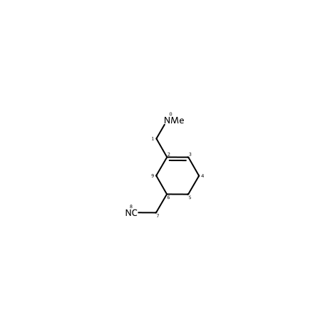 CNCC1=CCCC(CC#N)C1